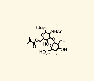 C=C(C)C(=O)OCC1OC(OC(C)(C)C)C(NC(C)=O)C(OC2OC(C(=O)O)[C@@H](C)C(O)C2O)C1O